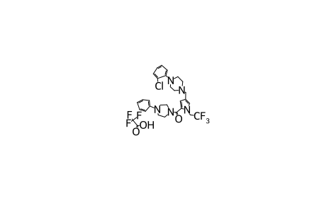 O=C(O)C(F)(F)F.O=C(c1cc(CN2CCN(c3ccccc3Cl)CC2)cn1CC(F)(F)F)N1CCN(c2ccccc2)CC1